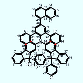 CC1(C)c2ccccc2-c2ccc(N(c3ccc4c(c3)C(c3ccccc3)(c3ccccc3)c3ccccc3-4)c3c(-c4ccccc4)cc(-c4cccc5ccccc45)cc3-c3ccccc3)cc21